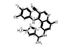 CC(Nc1cc(Cl)c2ncc(C#N)c(Nc3ccc(F)c(Cl)c3)c2c1)c1cn(C)nn1